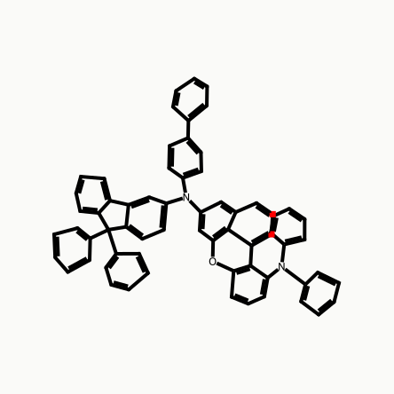 c1ccc(-c2ccc(N(c3ccc4c(c3)-c3ccccc3C4(c3ccccc3)c3ccccc3)c3cc4c5c(cccc5c3)-c3c(cccc3N(c3ccccc3)c3ccccc3)O4)cc2)cc1